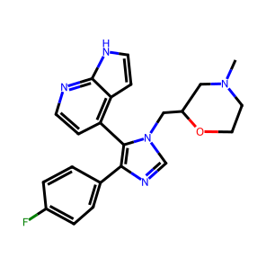 CN1CCOC(Cn2cnc(-c3ccc(F)cc3)c2-c2ccnc3[nH]ccc23)C1